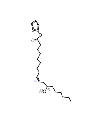 CCCCCC[C@@H](O)C/C=C\CCCCCCCC(=O)Oc1cccs1